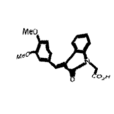 COc1ccc(/C=C2/C(=O)N(CC(=O)O)c3ccccc32)cc1OC